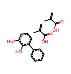 C=C(C)C(=O)O.C=C(C)C(=O)O.Oc1cccc(-c2ccccc2)c1O